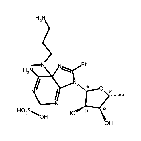 CCC1=NC2(N(C)CCCN)C(N)=NCN=C2N1[C@@H]1O[C@H](C)[C@@H](O)[C@H]1O.O=S(=O)(O)O